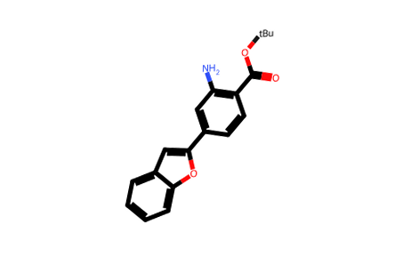 CC(C)(C)OC(=O)c1ccc(-c2cc3ccccc3o2)cc1N